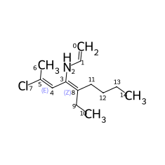 C=CNC(/C=C(\C)Cl)=C(/CC)CCCC